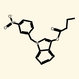 CCCC(=O)Oc1cn(Cc2cccc([N+](=O)[O-])c2)c2ccccc12